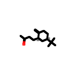 C=C1CC[C@@H](C(C)(C)C)C[C@H]1CCC(C)=O